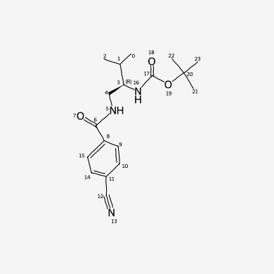 CC(C)[C@H](CNC(=O)c1ccc(C#N)cc1)NC(=O)OC(C)(C)C